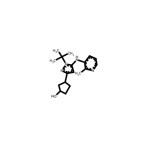 Cc1ncccc1Nc1cc(C2CCC(O)C2)nn1C(C)(C)C